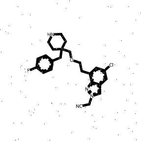 N#CCn1cc2cc(Cl)cc(CCOCC3(Cc4ccc(F)cc4)CCNCC3)c2n1